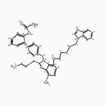 CCCCc1nc2c(C)ccc(OCCCCCn3cnc4ccccc43)c2n1Cc1ccc(-c2ccccc2OC(=O)O)cc1